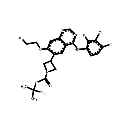 CC(C)(C)OC(=O)N1CC(c2cc3c(Nc4ccc(Cl)c(Cl)c4F)ncnc3cc2OCCO)C1